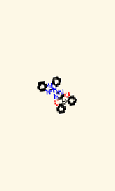 c1ccc2c(c1)Oc1nc(-n3c4ccccc4n4c5ccccc5nc34)nc3c1B2c1ccccc1O3